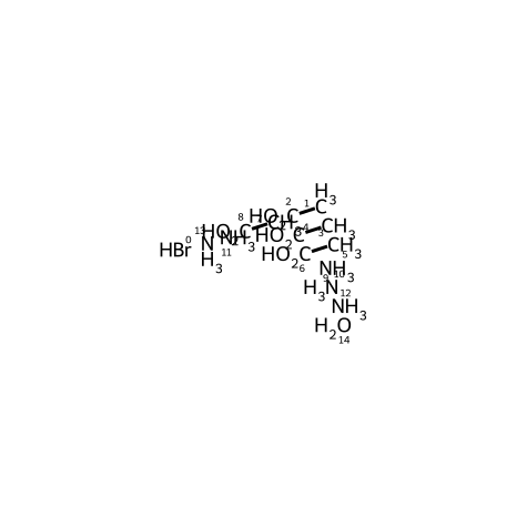 Br.CC(=O)O.CC(=O)O.CC(=O)O.CC(=O)O.N.N.N.N.N.O